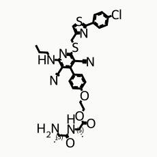 CCCNc1nc(SCc2csc(-c3ccc(Cl)cc3)n2)c(C#N)c(-c2ccc(OCCOC(=O)[C@H](C)NC(=O)[C@H](C)N)cc2)c1C#N